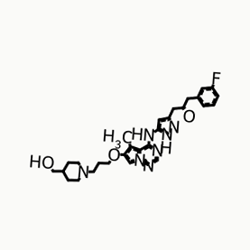 Cc1c(OCCCN2CCC(CO)CC2)cn2ncnc(Nc3cc(CC(=O)Cc4cccc(F)c4)n[nH]3)c12